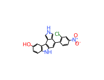 O=[N+]([O-])c1ccc(-c2cc3[nH]c4ccc(O)cc4c3c3c[nH]cc23)c(Cl)c1